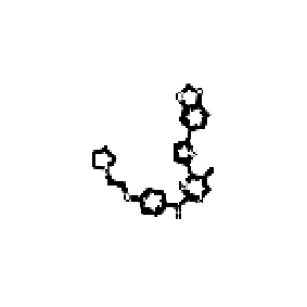 Cc1cnc(Nc2ccc(OCCN3CCCC3)cc2)nc1-c1ccc(-c2ccc3c(c2)OCO3)s1